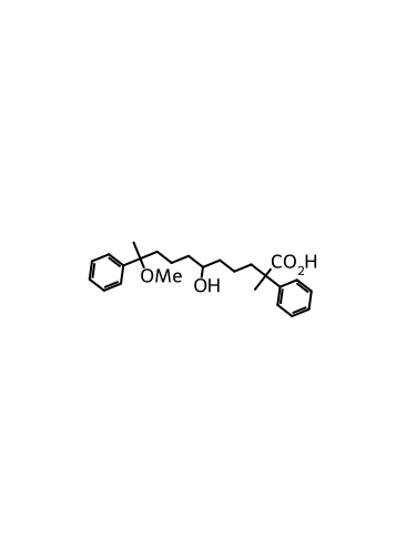 COC(C)(CCCC(O)CCCC(C)(C(=O)O)c1ccccc1)c1ccccc1